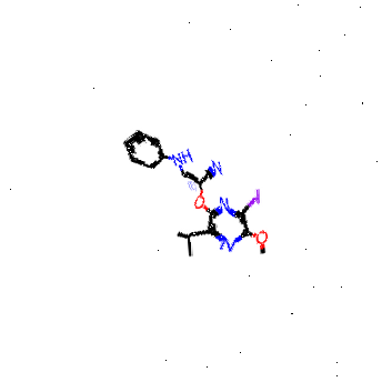 COc1nc(C(C)C)c(O/C(C#N)=C/Nc2ccccc2)nc1I